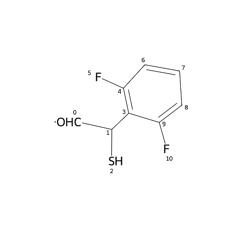 O=[C]C(S)c1c(F)cccc1F